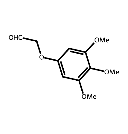 COc1cc(OCC=O)cc(OC)c1OC